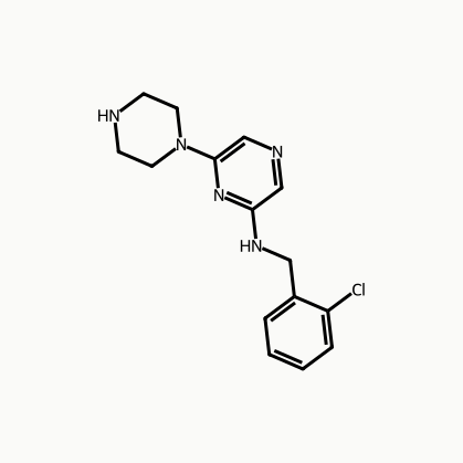 Clc1ccccc1CNc1cncc(N2CCNCC2)n1